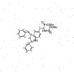 COC(=O)C(Cc1ccc2c(c1)C(Sc1ccccc1)CC(c1ccccc1)N2)NC(=O)OC(C)(C)C